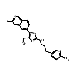 OCc1nc(NCCCc2ccc(C(F)(F)F)nc2)sc1-c1ccc2cnc(F)cc2c1